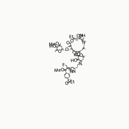 CC[C@H]1OC(=O)[C@H](C)[C@@H](COC[C@H]2C[C@@](C)(OC)[C@@H](O)[C@H](C)O2)[C@H](C)[C@@H](O[C@@H]2O[C@H](C)C[C@H](N(C)CCc3cn([C@H](CF)[C@H](OC)c4ccc([S+]([O-])CC)cc4)nn3)[C@H]2O)[C@](C)(O)C[C@@H](C)CN(C)[C@H](C)[C@@H](O)[C@]1(C)O